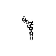 C=C1C=C(OCC2COCCO2)N2CCc3cc(C4=CCNCC4)ccc3C2=C1C